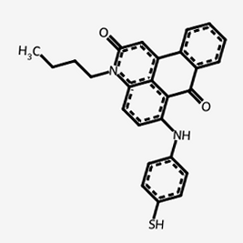 CCCCn1c(=O)cc2c3c(c(Nc4ccc(S)cc4)ccc31)C(=O)c1ccccc1-2